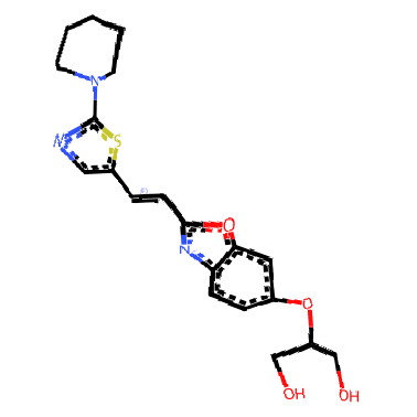 OCC(CO)Oc1ccc2nc(/C=C/c3cnc(N4CCCCC4)s3)oc2c1